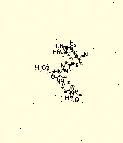 COCCOc1nn([C@H]2CC[C@H](N3C4CC[C@@H]3COC4)CC2)cc1Nc1ncc(-c2ccc(C#N)c(O[C@@H](C)CN(C=N)NN)c2)cn1